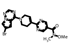 CON(C)C(=O)c1cnc(C2=CCN(c3ncnn4cc(Br)cc34)CC2)nc1